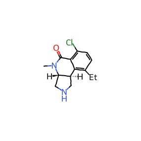 CCc1ccc(Cl)c2c1[C@H]1CNC[C@@H]1N(C)C2=O